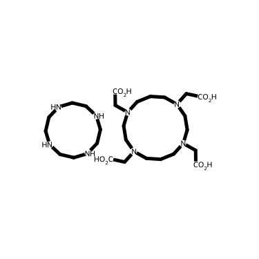 C1CNCCNCCNCCN1.O=C(O)CN1CCCN(CC(=O)O)CCN(CC(=O)O)CCCN(CC(=O)O)CC1